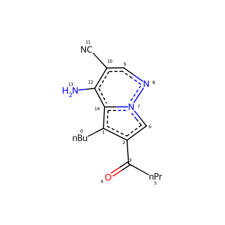 CCCCc1c(C(=O)CCC)cn2ncc(C#N)c(N)c12